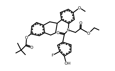 CCOC(=O)CN(C(=O)c1ccc(O)c(F)c1)c1cc(OC)ccc1C1CCc2cc(OC(=O)C(C)(C)C)ccc2C1